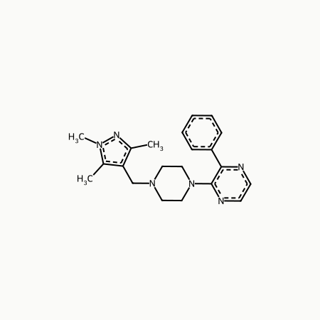 Cc1nn(C)c(C)c1CN1CCN(c2nccnc2-c2ccccc2)CC1